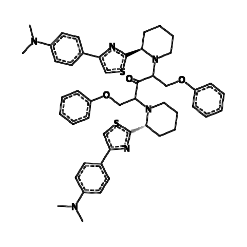 CN(C)c1ccc(-c2csc([C@H]3CCCCN3C(COc3ccccc3)C(=O)C(COc3ccccc3)N3CCCC[C@@H]3c3nc(-c4ccc(N(C)C)cc4)cs3)n2)cc1